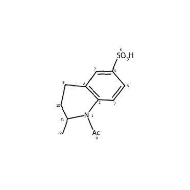 CC(=O)N1c2ccc(S(=O)(=O)O)cc2CCC1C